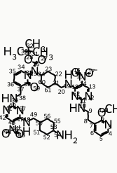 COc1ncccc1CCNc1ncc([N+](=O)[O-])c(NCC2CCC(N(C(=O)OC(C)(C)C)n3cccc(CNc4ncc([N+](=O)[O-])c(NCC5CCC(N)CC5)n4)c3=O)CC2)n1